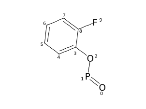 O=POc1ccccc1F